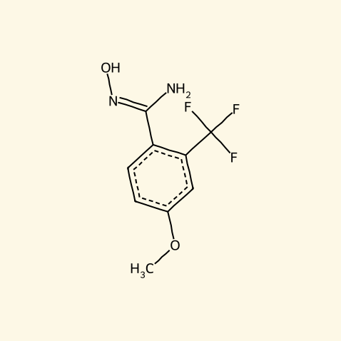 COc1ccc(/C(N)=N/O)c(C(F)(F)F)c1